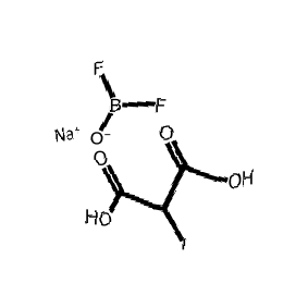 O=C(O)C(I)C(=O)O.[Na+].[O-]B(F)F